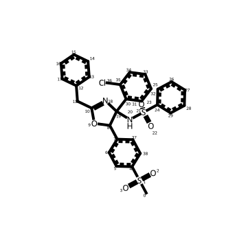 CS(=O)(=O)c1ccc(C2OC(Cc3ccccc3)=NC2(NS(=O)(=O)c2ccccc2)c2ccccc2Cl)cc1